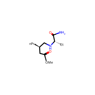 CCC[C@@H](CN[C@@H](CC)C(N)=O)CC(=O)OC